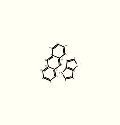 c1cc2sccc2s1.c1ccc2cc3ccccc3cc2c1